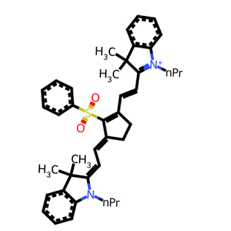 CCCN1/C(=C/C=C2\CCC(/C=C/C3=[N+](CCC)c4ccccc4C3(C)C)=C2S(=O)(=O)c2ccccc2)C(C)(C)c2ccccc21